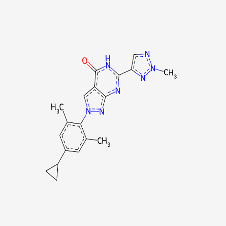 Cc1cc(C2CC2)cc(C)c1-n1cc2c(=O)[nH]c(-c3cnn(C)n3)nc2n1